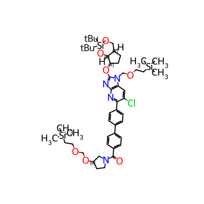 CC(C)(C)[Si]1(C(C)(C)C)OC[C@H]2CC[C@@H](Oc3nc4nc(-c5ccc(-c6ccc(C(=O)N7CC[C@@H](OCOCC[Si](C)(C)C)C7)cc6)cc5)c(Cl)cc4n3COCC[Si](C)(C)C)[C@@H]2O1